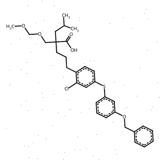 COCOCC(CCCc1ccc(Sc2cccc(OCc3ccccc3)c2)cc1Cl)(CC(C)C)C(=O)O